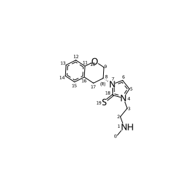 CNCCn1ccn([C@H]2COc3ccccc3C2)c1=S